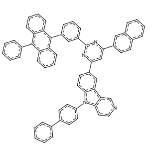 c1ccc(-c2ccc(-n3c4ccncc4c4cc(-c5cc(-c6ccc7ccccc7c6)nc(-c6cccc(-c7c8ccccc8c(-c8ccccc8)c8ccccc78)c6)n5)ccc43)cc2)cc1